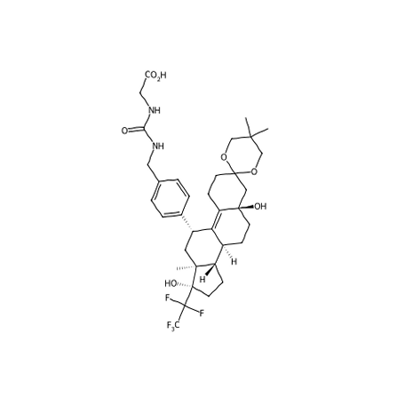 CC1(C)COC2(CCC3=C4[C@@H](CC[C@@]3(O)C2)[C@@H]2CC[C@@](O)(C(F)(F)C(F)(F)F)[C@@]2(C)C[C@@H]4c2ccc(CNC(=O)NCC(=O)O)cc2)OC1